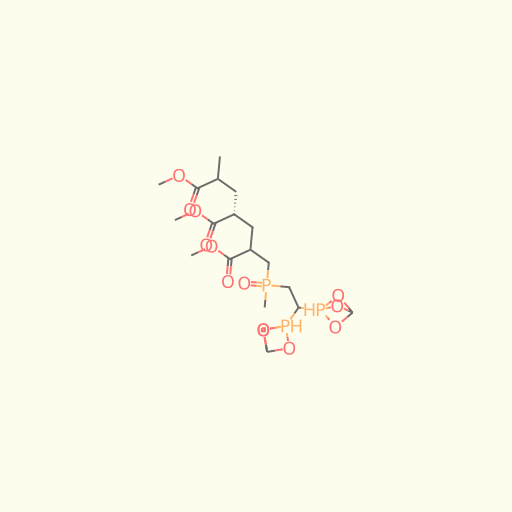 COC(=O)C(C)C[C@H](CC(CP(C)(=O)CC([PH]12OC(O1)O2)[PH]12OC(O1)O2)C(=O)OC)C(=O)OC